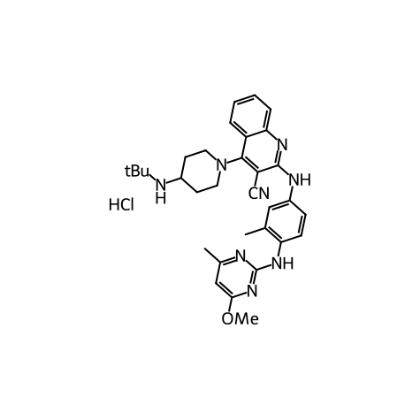 COc1cc(C)nc(Nc2ccc(Nc3nc4ccccc4c(N4CCC(NC(C)(C)C)CC4)c3C#N)cc2C)n1.Cl